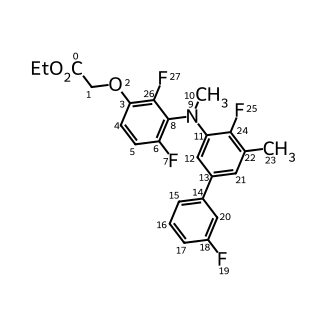 CCOC(=O)COc1ccc(F)c(N(C)c2cc(-c3cccc(F)c3)cc(C)c2F)c1F